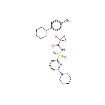 Cc1ccc(C2CCCCC2)c(OC2(C(=O)NS(=O)(=O)c3cccc(N4CCCCC4)n3)CC2)c1